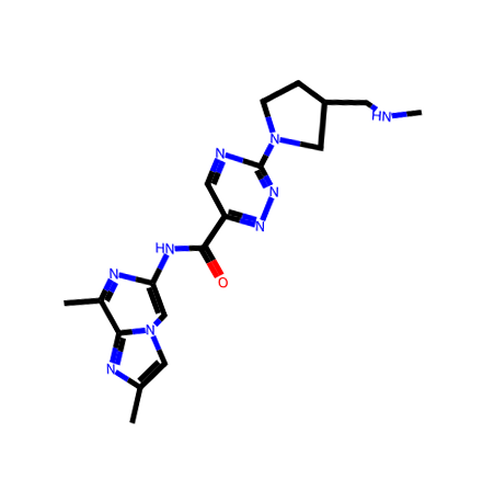 CNCC1CCN(c2ncc(C(=O)Nc3cn4cc(C)nc4c(C)n3)nn2)C1